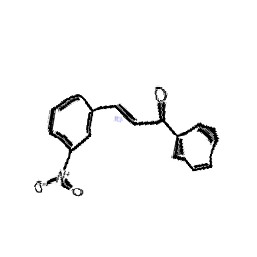 O=C(/C=C/c1cccc([N+](=O)[O-])c1)c1ccccc1